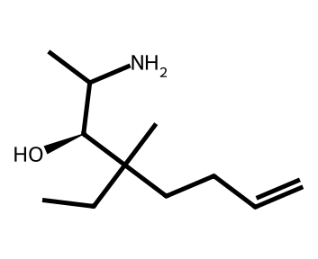 C=CCCC(C)(CC)[C@@H](O)C(C)N